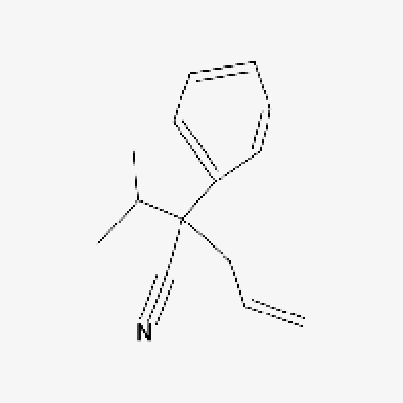 C=CCC(C#N)(c1ccccc1)C(C)C